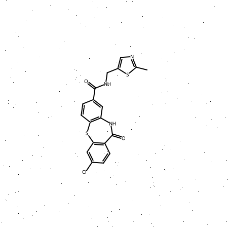 Cc1ncc(CNC(=O)c2ccc3c(c2)NC(=O)c2ccc(Cl)cc2S3)s1